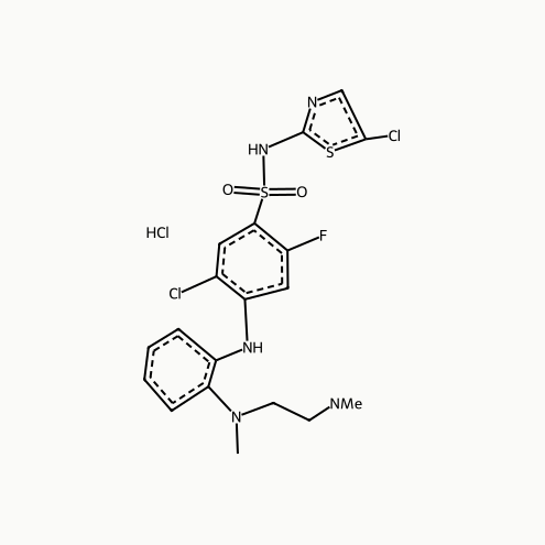 CNCCN(C)c1ccccc1Nc1cc(F)c(S(=O)(=O)Nc2ncc(Cl)s2)cc1Cl.Cl